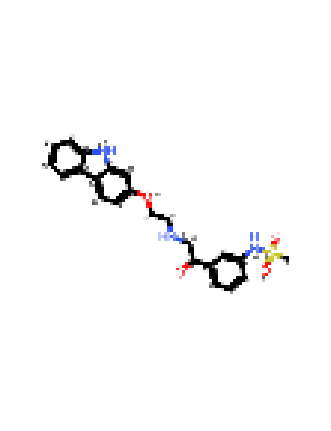 CS(=O)(=O)Nc1cccc(C(O)CNCCOc2ccc3c(c2)[nH]c2ccccc23)c1